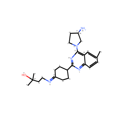 Cc1ccc2nc(C3CCC(=NCCC(C)(C)O)CC3)nc(N3CC[C@@H](N)C3)c2c1